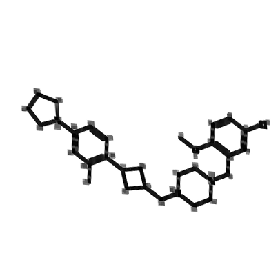 COc1ccc(Cl)cc1CN1CCN(CC2CC(c3ccc(N4CCCC4)cc3C)C2)CC1